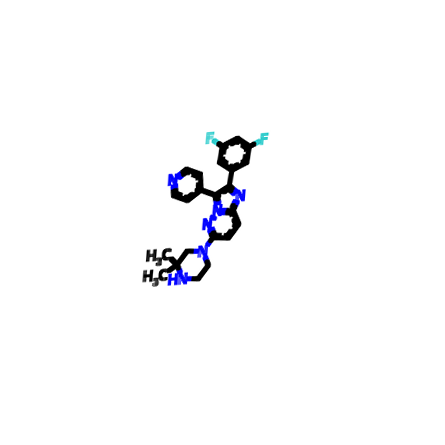 CC1(C)CN(c2ccc3nc(-c4cc(F)cc(F)c4)c(-c4ccncc4)n3n2)CCN1